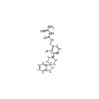 N=C(N)NC(=O)OCc1ccnc(N2CCC3(CCc4ccccc43)CC2)c1F